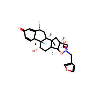 C[C@]12C[C@H](O)[C@@]3(F)[C@@H](C[C@H](F)C4=CC(=O)C=C[C@@]43C)[C@]1(C)C[C@H]1CN(Cc3ccoc3)O[C@]12C(=O)O